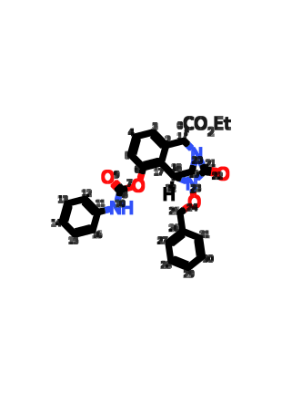 CCOC(=O)[C@H]1c2cccc(OC(=O)Nc3ccccc3)c2[C@H]2CN1C(=O)N2OCc1ccccc1